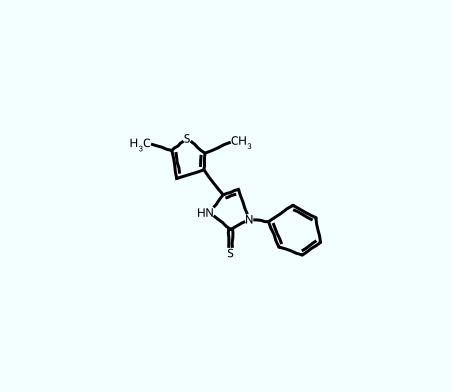 Cc1cc(-c2cn(-c3ccccc3)c(=S)[nH]2)c(C)s1